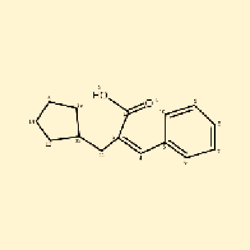 O=C(O)C(=Cc1ccccc1)CC1CCCC1